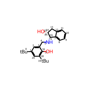 CC(C)(C)c1cc(CN[C@H]2c3ccccc3C[C@H]2O)c(O)c(C(C)(C)C)c1